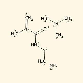 C=C(C)C(=O)NCC.CN(C)C.N